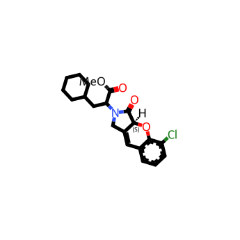 COC(=O)C(CC1CCCCC1)N1CC2=Cc3cccc(Cl)c3O[C@@H]2C1=O